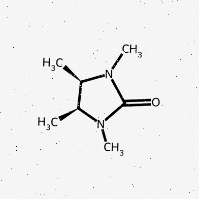 C[C@@H]1[C@H](C)N(C)C(=O)N1C